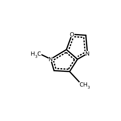 Cc1cn(C)c2ocnc12